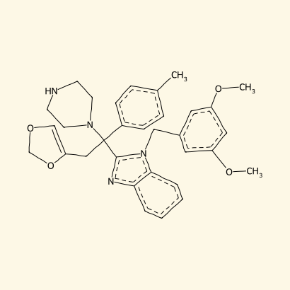 COc1cc(Cn2c(C(CC3=COCO3)(c3ccc(C)cc3)N3CCNCC3)nc3ccccc32)cc(OC)c1